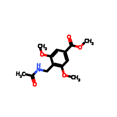 COC(=O)c1cc(OC)c(CNC(C)=O)c(OC)c1